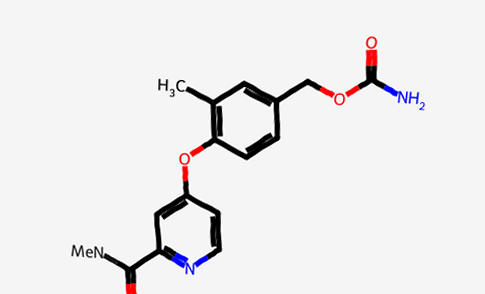 CNC(=O)c1cc(Oc2ccc(COC(N)=O)cc2C)ccn1